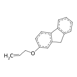 C=CCOc1ccc2c(c1)Cc1ccccc1-2